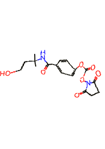 CC(C)(CCO)NC(=O)c1ccc(OC(=O)ON2C(=O)CCC2=O)cc1